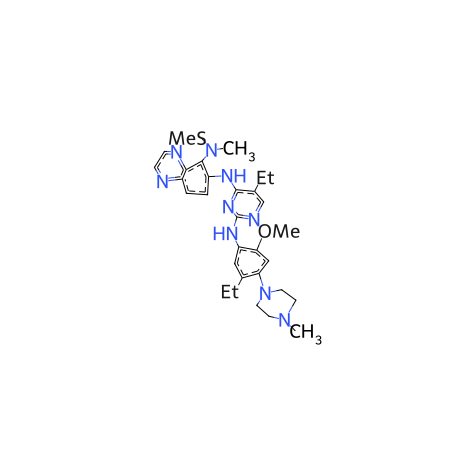 CCc1cc(Nc2ncc(CC)c(Nc3ccc4nccnc4c3N(C)SC)n2)c(OC)cc1N1CCN(C)CC1